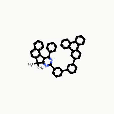 CC1(C)c2ccc3ccccc3c2-c2c(-c3ccccc3)nc(-c3cccc(-c4cccc(-c5ccc6c7ccccc7c7ccccc7c6c5)c4)c3)nc21